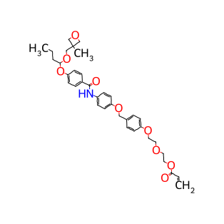 C=CC(=O)OCCOCCOc1ccc(COc2ccc(NC(=O)c3ccc(OC(CCC)OCC4(C)COC4)cc3)cc2)cc1